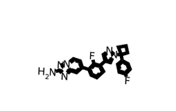 Nc1nc2cc(-c3cccc(-c4cnn(C5(c6ccc(F)cc6)CCC5)c4)c3F)ccn2n1